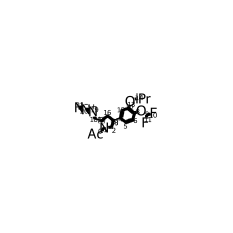 CC(=O)N1C[C@H](c2ccc(OC(F)F)c(OC(C)C)c2)C[C@@H]1CN=[N+]=[N-]